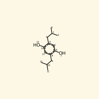 CC(C)Cc1cc(O)c(CC(C)C)cc1O